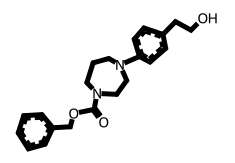 O=C(OCc1ccccc1)N1CCCN(c2ccc(CCO)cc2)CC1